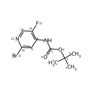 CC(C)(C)OC(=O)Nc1cc(Br)ncc1F